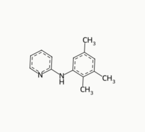 Cc1cc(C)c(C)c(Nc2ccccn2)c1